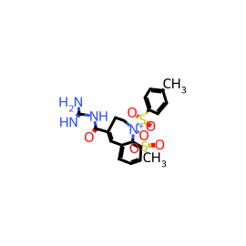 Cc1ccc(S(=O)(=O)[N+]2(OS(C)(=O)=O)CCC(C(=O)NC(=N)N)=Cc3ccccc32)cc1